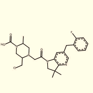 CC1CN(CC(=O)N2CC(C)(C)c3ncc(Cc4ccccc4F)cc32)C(CCl)CN1C(=O)O